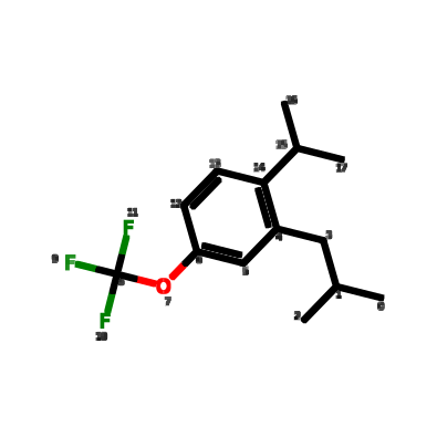 CC(C)Cc1cc(OC(F)(F)F)ccc1C(C)C